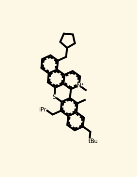 Cc1c2c(c(CC(C)C)c3ccc(CC(C)(C)C)cc13)Sc1cc3cccc(CC4CCCC4)c3c3cc[n+](C)c-2c13